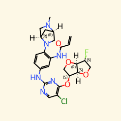 C=CC(=O)Nc1cc(Nc2ncc(Cl)c(O[C@H]3CO[C@@H]4[C@H]3OC[C@@H]4F)n2)ccc1N1C[C@H]2C[C@@H]1CN2C